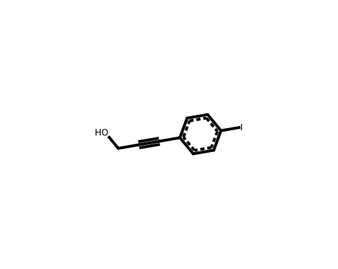 OCC#Cc1ccc(I)cc1